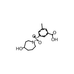 Cc1cc(C(=O)O)cc(S(=O)(=O)N2CCCC(O)CC2)c1